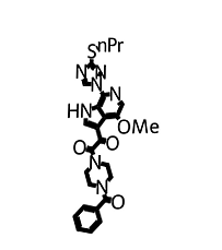 CCCSc1ncn(-c2ncc(OC)c3c(C(=O)C(=O)N4CCN(C(=O)c5ccccc5)CC4)c[nH]c23)n1